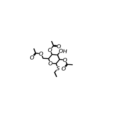 CCSC1OC(COC(C)=O)C(OC(C)=O)C(O)C1OC(C)=O